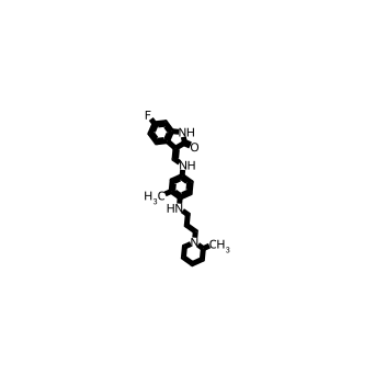 Cc1cc(NC=C2C(=O)Nc3cc(F)ccc32)ccc1NCCCN1CCCCC1C